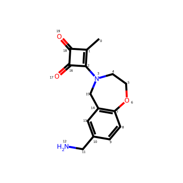 Cc1c(N2CCOc3ccc(CN)cc3C2)c(=O)c1=O